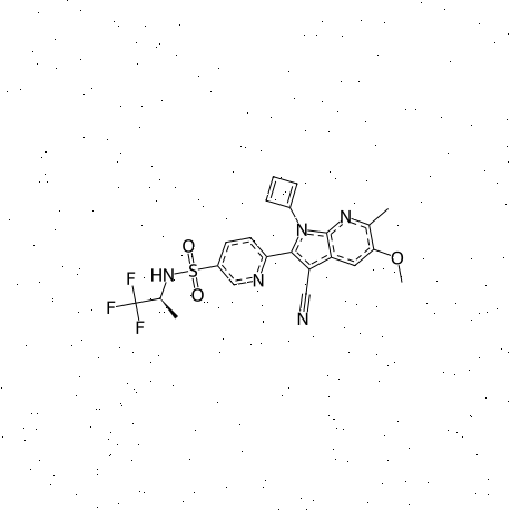 COc1cc2c(C#N)c(-c3ccc(S(=O)(=O)N[C@@H](C)C(F)(F)F)cn3)n(C3=CC=C3)c2nc1C